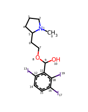 CN1CCCC1CCOC(O)c1c(I)ccc(I)c1I